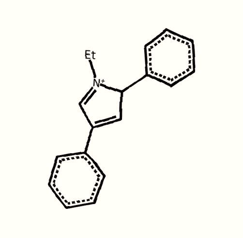 CC[N+]1=CC(c2ccccc2)=CC1c1ccccc1